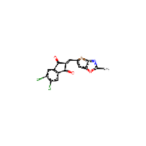 Cc1nc2sc(C=C3C(=O)c4cc(Cl)c(Cl)cc4C3=O)cc2o1